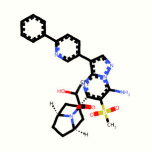 CS(=O)(=O)c1c([C@@H]2C[C@H]3CC[C@@H](C2)N3C(=O)C(O)C(F)(F)F)nc2c(-c3ccc(-c4ccccc4)nc3)cnn2c1N